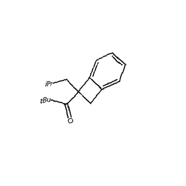 CC(C)CC1(C(=O)C(C)(C)C)Cc2ccccc21